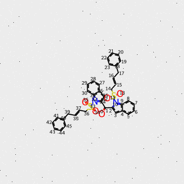 O=C(c1cc2ccccc2n1S(=O)(=O)CC=CCc1ccccc1)c1cc2ccccc2n1S(=O)(=O)CC=CCc1ccccc1